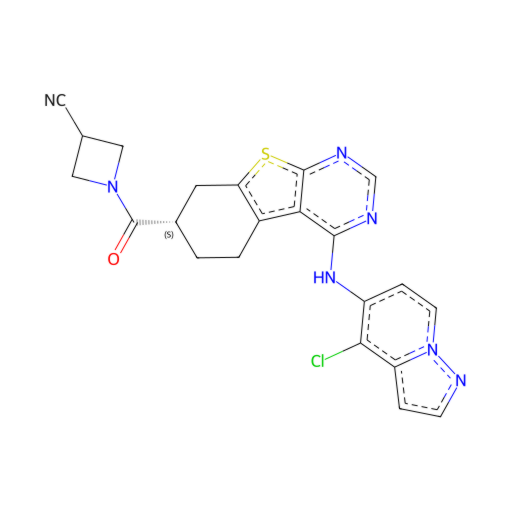 N#CC1CN(C(=O)[C@H]2CCc3c(sc4ncnc(Nc5ccn6nccc6c5Cl)c34)C2)C1